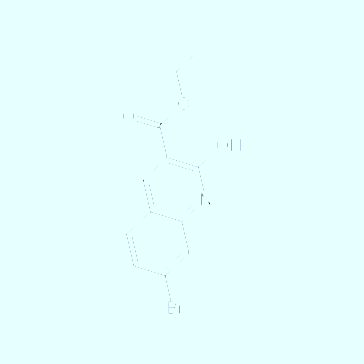 CCOC(=O)c1cc2ccc(Br)cc2nc1O